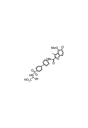 COc1c(Cl)ccc2oc(C(=O)Nc3ccc(-c4ccc(S(=O)(=O)NC(C(=O)O)C(C)C)cc4)cc3)c(C)c12